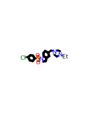 CCN1CCN(Cc2ccc3c(ccn3S(=O)(=O)c3ccc(Cl)cc3)c2)CC1